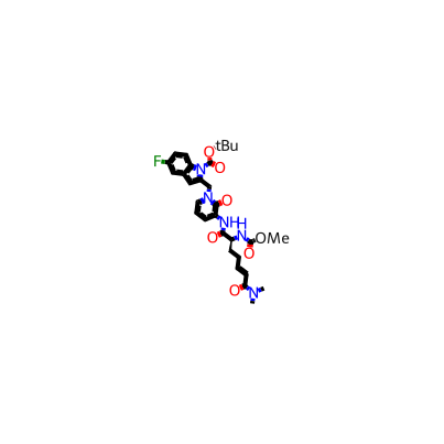 COC(=O)N[C@@H](CC/C=C/C(=O)N(C)C)C(=O)Nc1cccn(Cc2cc3cc(F)ccc3n2C(=O)OC(C)(C)C)c1=O